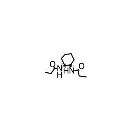 CCC(=O)N[C@@H]1CCCC[C@H]1NC(=O)CC